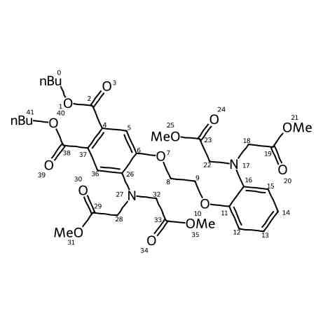 CCCCOC(=O)c1cc(OCCOc2ccccc2N(CC(=O)OC)CC(=O)OC)c(N(CC(=O)OC)CC(=O)OC)cc1C(=O)OCCCC